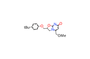 COCc1cc(=O)nc2n1CC(COc1ccc(C(C)(C)C)cc1)O2